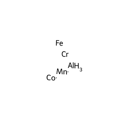 [AlH3].[Co].[Cr].[Fe].[Mn]